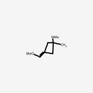 CNC1(C)CC(=COC)C1